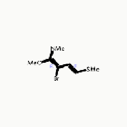 CN/C(OC)=C(Br)\C=C\SC